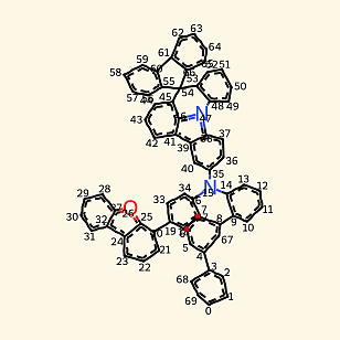 c1ccc(-c2cccc(-c3ccccc3N(c3ccc(-c4cccc5c4oc4ccccc45)cc3)c3ccc4c(c3)c3cccc5c3n4-c3ccccc3C53c4ccccc4-c4ccccc43)c2)cc1